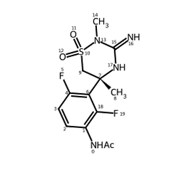 CC(=O)Nc1ccc(F)c([C@]2(C)CS(=O)(=O)N(C)C(=N)N2)c1F